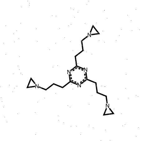 C(Cc1nc(CCCN2CC2)nc(CCCN2CC2)n1)CN1CC1